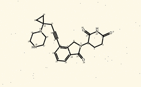 O=C1CCC(N2Cc3c(C#CCC4(N5CCNCC5)CC4)cccc3C2=O)C(=O)N1